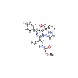 CC(C)(C)OC(=O)NC[C@@H](c1cc2c(c(-c3ccc(F)cc3)n1)OC[C@]2(C)C1=NCCN1)C(F)(F)F